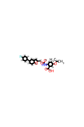 CC(C)Oc1ccc(NC(=O)OCc2cc3cc(-c4ccc(F)cc4)ccc3o2)c(C(=O)O)c1